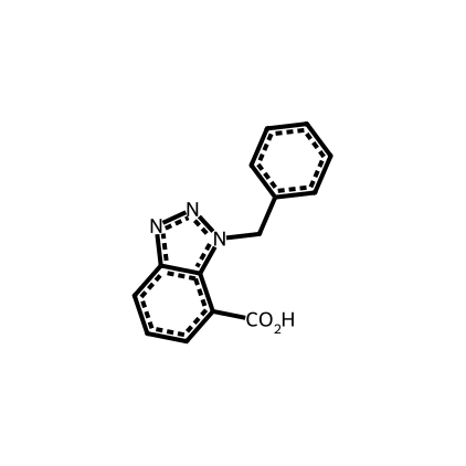 O=C(O)c1cccc2nnn(Cc3ccccc3)c12